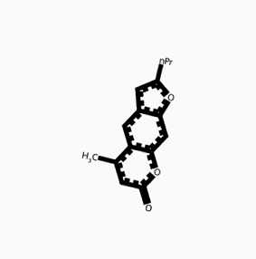 CCCc1cc2cc3c(C)cc(=O)oc3cc2o1